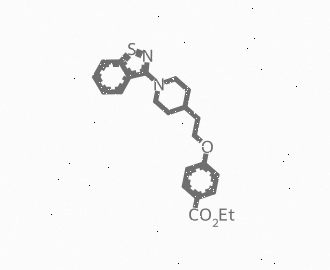 CCOC(=O)c1ccc(OCCC2CCN(c3nsc4ccccc34)CC2)cc1